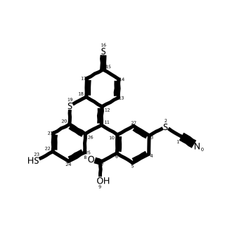 N#CSc1ccc(C(=O)O)c(-c2c3ccc(=S)cc-3sc3cc(S)ccc23)c1